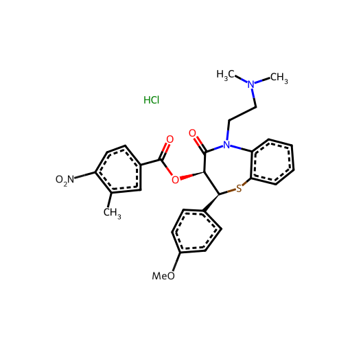 COc1ccc([C@@H]2Sc3ccccc3N(CCN(C)C)C(=O)[C@@H]2OC(=O)c2ccc([N+](=O)[O-])c(C)c2)cc1.Cl